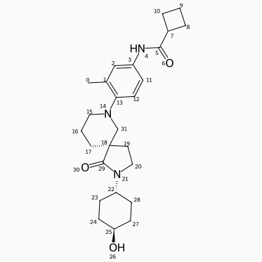 Cc1cc(NC(=O)C2CCC2)ccc1N1CCC[C@@]2(CCN([C@H]3CC[C@H](O)CC3)C2=O)C1